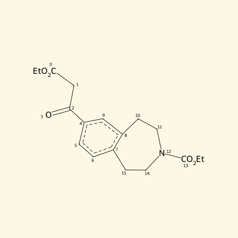 CCOC(=O)CC(=O)c1ccc2c(c1)CCN(C(=O)OCC)CC2